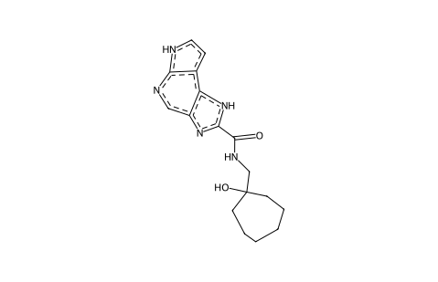 O=C(NCC1(O)CCCCCC1)c1nc2cnc3[nH]ccc3c2[nH]1